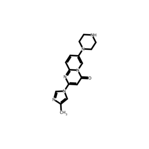 Cc1cn(-c2cc(=O)n3cc(N4CCNCC4)ccc3n2)cn1